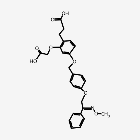 CON=C(COc1ccc(COc2ccc(CCC(=O)O)c(OCC(=O)O)c2)cc1)c1ccccc1